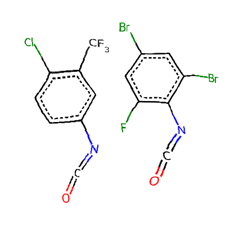 O=C=Nc1c(F)cc(Br)cc1Br.O=C=Nc1ccc(Cl)c(C(F)(F)F)c1